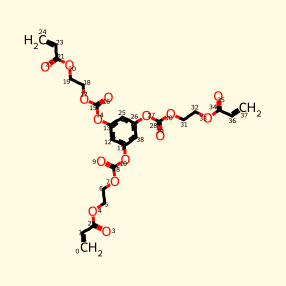 C=CC(=O)OCCOC(=O)Oc1cc(OC(=O)OCCOC(=O)C=C)cc(OC(=O)OCCOC(=O)C=C)c1